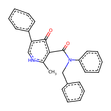 Cc1[nH]cc(-c2ccccc2)c(=O)c1C(=O)N(Cc1ccccc1)c1ccccc1